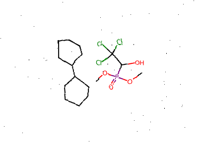 C1CCC(C2CCCCC2)CC1.COP(=O)(OC)C(O)C(Cl)(Cl)Cl